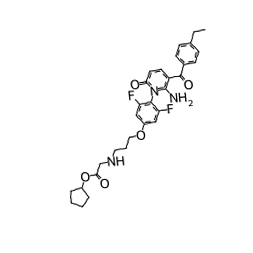 CCc1ccc(C(=O)c2ccc(=O)n(-c3c(F)cc(OCCCNCC(=O)OC4CCCC4)cc3F)c2N)cc1